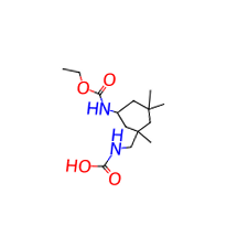 CCOC(=O)NC1CC(C)(C)CC(C)(CNC(=O)O)C1